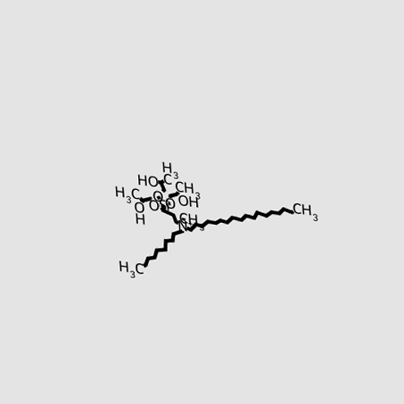 CCCCCCCCCCCCCCCCCC[N+](C)(CCCCCCCCCC)CCC[Si](OCC(C)O)(OCC(C)O)OCC(C)O